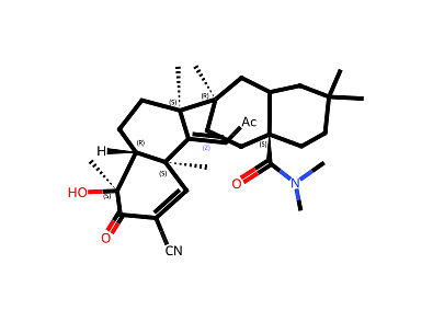 CC(=O)/C=C1/[C@@]2(C)C=C(C#N)C(=O)[C@@](C)(O)[C@@H]2CC[C@@]1(C)[C@]1(C)CC[C@@]2(C(=O)N(C)C)CCC(C)(C)CC2C1